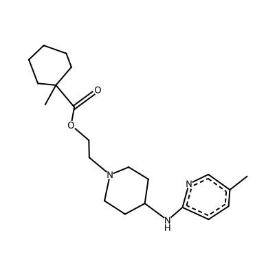 Cc1ccc(NC2CCN(CCOC(=O)C3(C)CCCCC3)CC2)nc1